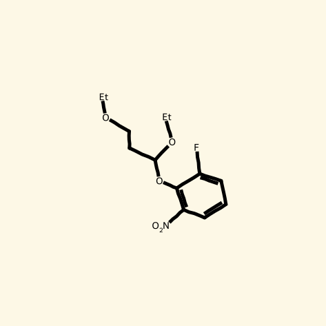 CCOCCC(OCC)Oc1c(F)cccc1[N+](=O)[O-]